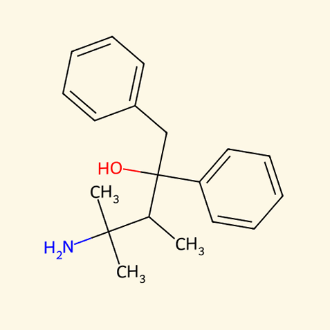 CC(C(C)(C)N)C(O)(Cc1ccccc1)c1ccccc1